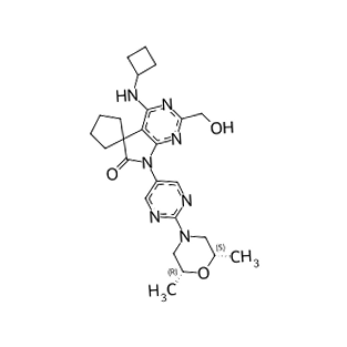 C[C@@H]1CN(c2ncc(N3C(=O)C4(CCCC4)c4c(NC5CCC5)nc(CO)nc43)cn2)C[C@H](C)O1